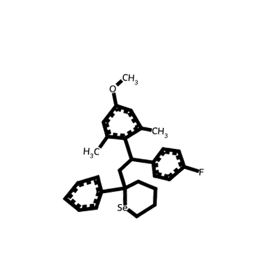 COc1cc(C)c(C(CC2(c3ccccc3)CCCC[Se]2)c2ccc(F)cc2)c(C)c1